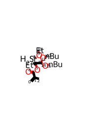 C=C(C)C(=O)OC(CC)([SiH2]OCC)C(OCCCC)OCCCC